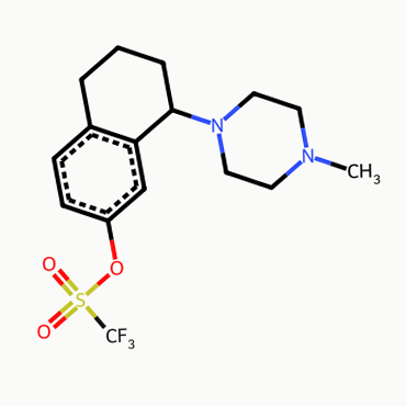 CN1CCN(C2CCCc3ccc(OS(=O)(=O)C(F)(F)F)cc32)CC1